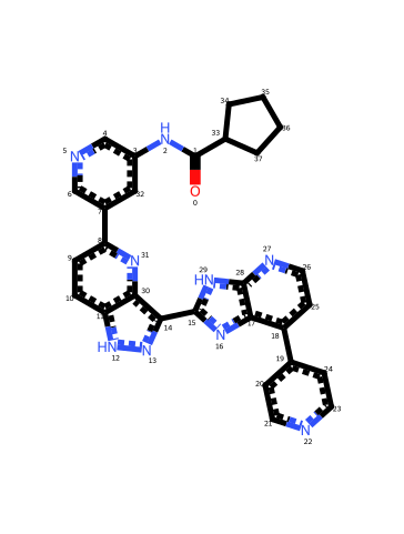 O=C(Nc1cncc(-c2ccc3[nH]nc(-c4nc5c(-c6ccncc6)ccnc5[nH]4)c3n2)c1)C1CCCC1